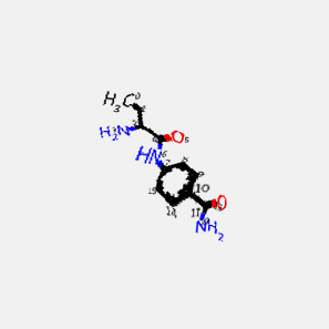 CCC(N)C(=O)Nc1ccc(C(N)=O)cc1